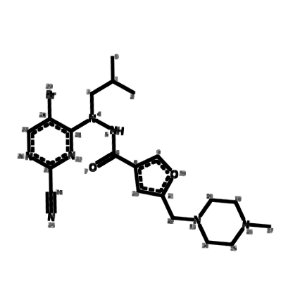 CC(C)CN(NC(=O)c1coc(CN2CCN(C)CC2)c1)c1nc(C#N)ncc1Br